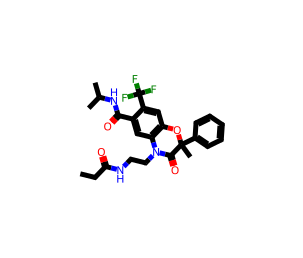 CCC(=O)NCCN1C(=O)C(C)(c2ccccc2)Oc2cc(C(F)(F)F)c(C(=O)NC(C)C)cc21